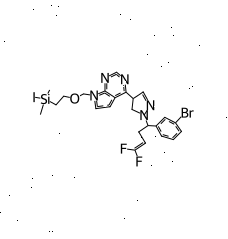 C[Si](C)(I)CCOCn1ccc2c(C3C=NN(C(CC=C(F)F)c4cccc(Br)c4)C3)ncnc21